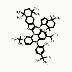 Cc1cc(C(C)(C)C)ccc1N1c2cc(C(C)C)cc3c2B(c2oc4c(c2N3C2C=CC3=C2C(C)(C)CCC3(C)C)CC2C(C4)C(C)(C)CCC2(C)C)C2C[C@H](C(C)(C)C)C=CC21